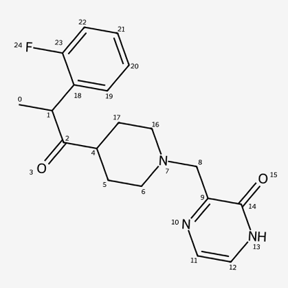 CC(C(=O)C1CCN(Cc2ncc[nH]c2=O)CC1)c1ccccc1F